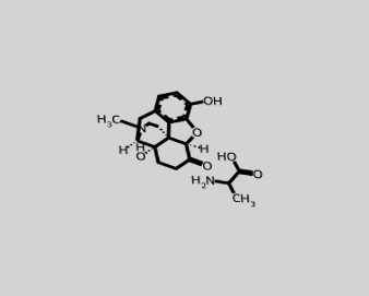 CC(N)C(=O)O.CN1CC[C@]23c4c5ccc(O)c4O[C@H]2C(=O)CC[C@@]3(O)[C@H]1C5